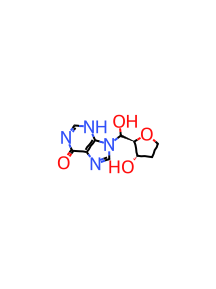 O=c1nc[nH]c2c1ncn2C(O)[C@H]1OCC[C@@H]1O